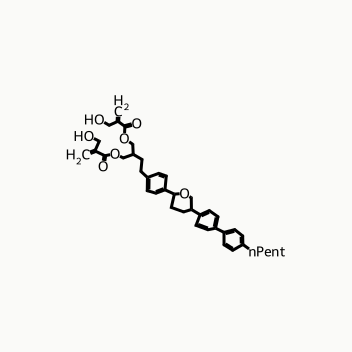 C=C(CO)C(=O)OCC(CCc1ccc(C2CCC(c3ccc(-c4ccc(CCCCC)cc4)cc3)CO2)cc1)COC(=O)C(=C)CO